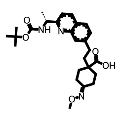 CON=C1CCC(CCc2ccc3ccc([C@@H](C)NC(=O)OC(C)(C)C)nc3c2)(C(=O)O)CC1